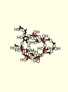 CC(O)COC(C)COC1C2OC(CO)C(OC3OC(CO)C(OC4OC(CO)C(OC5OC(CO)C(OC6OC(CO)C7OC8OC(CO)C(OC9OC(CO)C(O2)C(O)C9OCC(C)O)C(O)C8OCC(C)OCC(C)OC(O)COC(C)COC6C7O)C(O)C5OCC(C)O)C(O)C4OCC(C)O)C(O)C3OCC(C)O)C1O